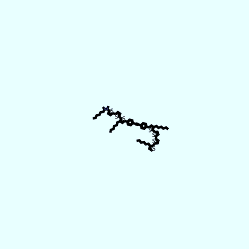 CCCCCC/C(C)=C(/C)c1ccc(-c2ccc(-c3sc(-c4ccc(C#Cc5ccc(-c6cc(CCCCCC)c(-c7ccc(-c8ccc(-c9sccc9CCCCCC)s8)s7)s6)cc5)cc4)cc3CCCCCC)s2)s1